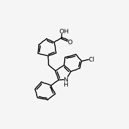 O=C(O)c1cccc(Cc2c(-c3ccccc3)[nH]c3cc(Cl)ccc23)c1